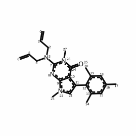 C=CCN(CC=C)c1nc2c(c(-c3c(C)cc(C)cc3C)cn2C)c(=O)n1C